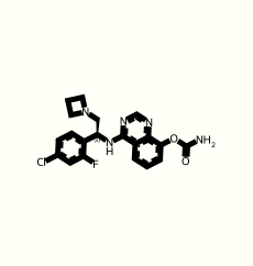 NC(=O)Oc1cccc2c(N[C@H](CN3CCC3)c3ccc(Cl)cc3F)ncnc12